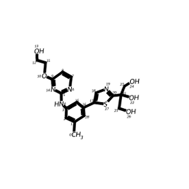 Cc1cc(Nc2nccc(OCCO)n2)cc(-c2cnc(C(O)(CO)CO)s2)c1